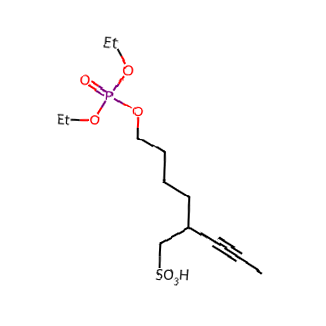 CC#CC(CCCCOP(=O)(OCC)OCC)CS(=O)(=O)O